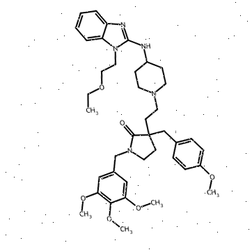 CCOCCn1c(NC2CCN(CCC3(Cc4ccc(OC)cc4)CCN(Cc4cc(OC)c(OC)c(OC)c4)C3=O)CC2)nc2ccccc21